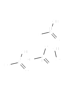 CO.O=[PH](O)O.O=[PH](O)O.O=[PH](O)O